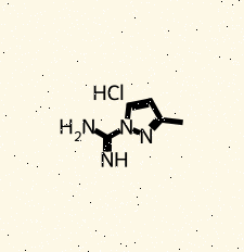 Cc1ccn(C(=N)N)n1.Cl